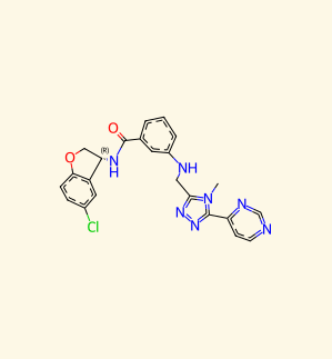 Cn1c(CNc2cccc(C(=O)N[C@H]3COc4ccc(Cl)cc43)c2)nnc1-c1ccncn1